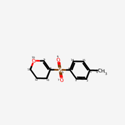 Cc1ccc(S(=O)(=O)C2=COCCC2)cc1